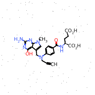 C#CCN(Cc1cn(C)c2nc(N)nc(O)c12)c1ccc(C(=O)N[C@@H](CCC(=O)O)C(=O)O)cc1